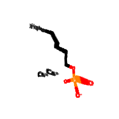 CCCCCCCCCCCOP(=O)([O-])[O-].[Cs+].[Cs+]